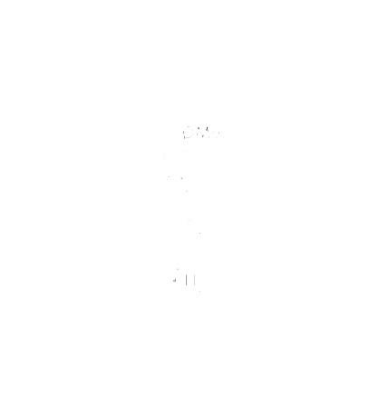 C=CCCCC1CCC(C2CCC(COC)CC2)CC1